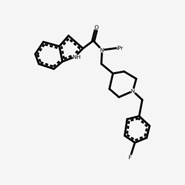 CC(C)N(CC1CCN(Cc2ccc(F)cc2)CC1)C(=O)c1cc2ccccc2[nH]1